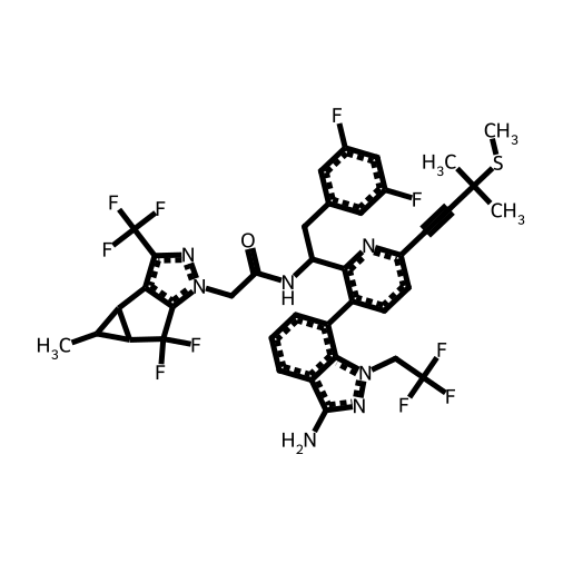 CSC(C)(C)C#Cc1ccc(-c2cccc3c(N)nn(CC(F)(F)F)c23)c(C(Cc2cc(F)cc(F)c2)NC(=O)Cn2nc(C(F)(F)F)c3c2C(F)(F)C2C(C)C32)n1